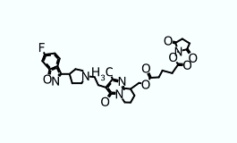 Cc1nc2n(c(=O)c1CCN1CCC(c3noc4cc(F)ccc34)CC1)CCCC2COC(=O)CCCC(=O)ON1C(=O)CCC1=O